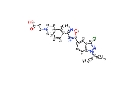 Cc1c(-c2noc(-c3ccc4c(c3)c(Cl)nn4C(C)C)n2)ccc2c1CCN(CCC(=O)O)C2